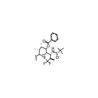 C=C([C@@H](N[S@+]([O-])C(C)(C)C)[C@H]1OC(SC)[C@H](C)[C@H](C)C1OC(=O)c1ccccc1)C(F)(F)F